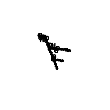 CCCCCCCCCCCOC(=O)CCCCCN(CCCCCCCC(=O)OC(CCCCCCCC)CCCCCCCC)CC(O)CCCCNC(=O)[C@@H]1CCN(C(=O)OC(C)(C)C)C1